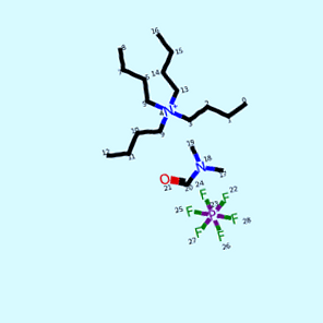 CCCC[N+](CCCC)(CCCC)CCCC.CN(C)C=O.F[P-](F)(F)(F)(F)F